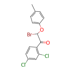 Cc1ccc(OC(Br)C(=O)c2ccc(Cl)cc2Cl)cc1